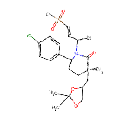 CCC(/C=C/S(=O)(=O)CC)N1C(=O)[C@@](C)(CC2COC(C)(C)O2)CCC1c1ccc(Cl)cc1